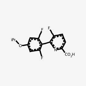 CC(C)Oc1cc(F)c(-c2nc(C(=O)O)ccc2F)c(F)c1